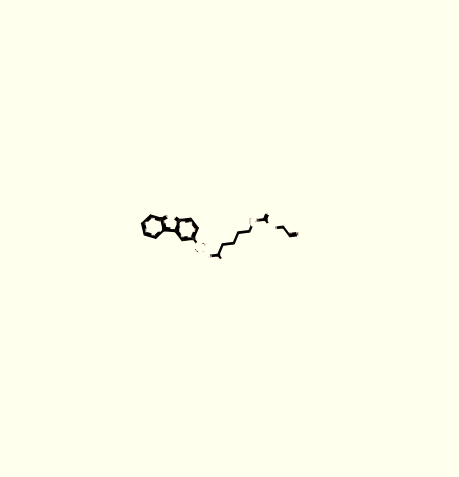 C=CCOC(=O)NCCCCC(NS(=O)(=O)c1ccc2oc3ccccc3c2c1)C(=O)O